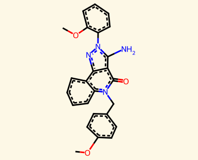 COc1ccc(Cn2c(=O)c3c(N)n(-c4ccccc4OC)nc3c3ccccc32)cc1